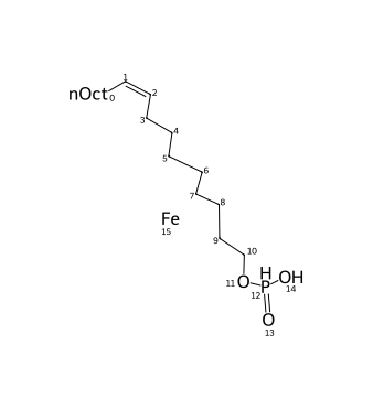 CCCCCCCC/C=C\CCCCCCCCO[PH](=O)O.[Fe]